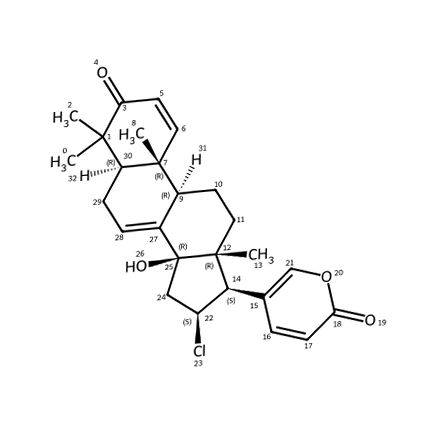 CC1(C)C(=O)C=C[C@]2(C)[C@H]3CC[C@]4(C)[C@@H](c5ccc(=O)oc5)[C@@H](Cl)C[C@]4(O)C3=CC[C@@H]12